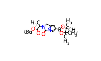 C[C@H](C(=O)OC(C)(C)C)N1Cc2cc(B3OC(C)(C)C(C)(C)O3)cn2C1=O